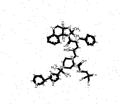 CC1(C)O[C@@H]2COc3ccccc3[C@@H]2N1C(=O)[C@H](Cc1ccccc1)C[C@H](O)CN1CCN(C(C)(C)c2csc(-c3cccnc3)n2)C[C@H]1C(=O)NCC(F)(F)F